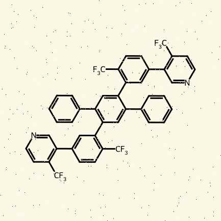 FC(F)(F)c1ccncc1-c1ccc(C(F)(F)F)c(-c2cc(-c3ccccc3)c(-c3cc(-c4cnccc4C(F)(F)F)ccc3C(F)(F)F)cc2-c2ccccc2)c1